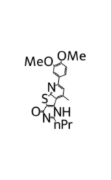 CCCc1nc(=O)c2sc3nc(-c4ccc(OC)c(OC)c4)cc(C)c3c2[nH]1